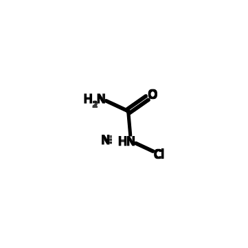 NC(=O)NCl.[N]